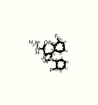 NNC(=O)c1nnn(-c2ccccc2F)c1-c1cccc(F)c1F